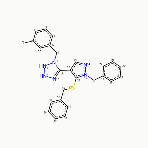 Cc1cccc(CN2NNN=C2c2cnn(Cc3ccccc3)c2SCc2ccccc2)c1